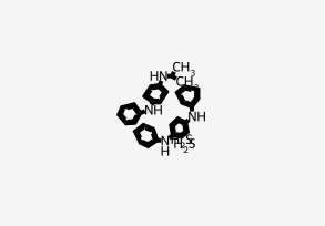 CC(C)Nc1ccc(Nc2ccccc2)cc1.S.S.c1ccc(Nc2ccc(Nc3ccccc3)cc2)cc1